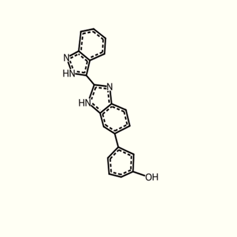 Oc1cccc(-c2ccc3nc(-c4[nH]nc5ccccc45)[nH]c3c2)c1